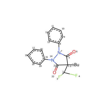 CCCCC1(C(F)F)C(=O)N(c2ccccc2)N(c2ccccc2)C1=O